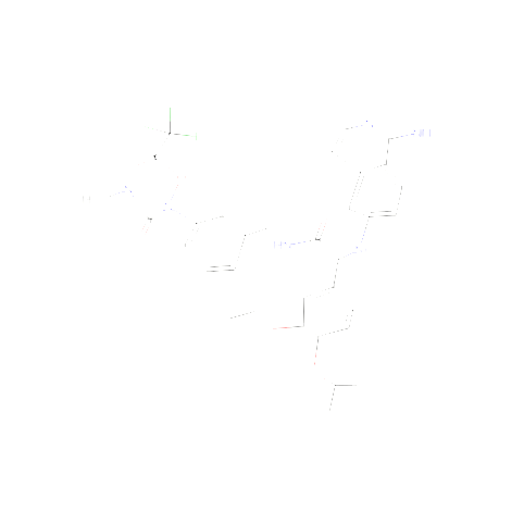 CCOc1cc(C(Nc2ccc3c(N)nccc3c2)C(=O)NCc2cccc(N(OC(=O)C(F)(F)F)C(=O)NC)c2)ccc1OC(C)C